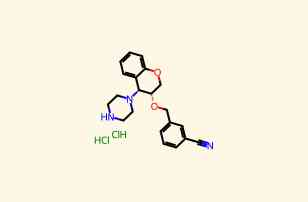 Cl.Cl.N#Cc1cccc(CO[C@H]2COc3ccccc3[C@@H]2N2CCNCC2)c1